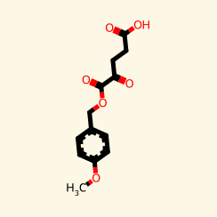 COc1ccc(COC(=O)C(=O)CCC(=O)O)cc1